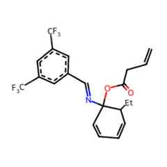 C=CCC(=O)OC1(N=Cc2cc(C(F)(F)F)cc(C(F)(F)F)c2)C=CC=CC1CC